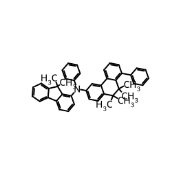 CC1(C)c2ccccc2-c2cccc(N(c3ccccc3)c3ccc4c(c3)-c3cccc(-c5ccccc5)c3C(C)(C)C4(C)C)c21